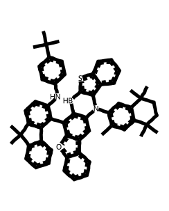 Cc1cc2c(cc1N1c3cc4c(oc5ccccc54)c(-c4c(Nc5ccc(C(C)(C)C)cc5)ccc5c4-c4ccccc4C5(C)C)c3Bc3sc4ccccc4c31)C(C)(C)CCC2(C)C